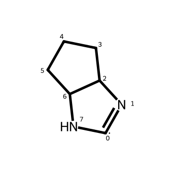 [C]1=NC2CCCC2N1